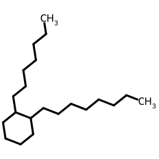 CCCCCCCCC1CCCCC1CCCCCCC